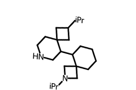 CC(C)C1CC2(CCNCC2C2CCCCC23CN(C(C)C)C3)C1